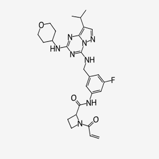 C=CC(=O)N1CCC1C(=O)Nc1cc(F)cc(CNc2nc(NC3CCOCC3)nc3c(C(C)C)cnn23)c1